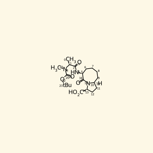 C[C@@H](C(=O)N[C@H]1CCCC[C@H]2CC[C@@H](C(=O)O)N2C1=O)N(C)C(=O)OC(C)(C)C